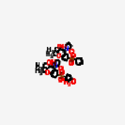 CC1(C)Oc2ccc(S(=O)(=O)c3ccccc3)cc2[C@@H](N2CCCC2=O)[C@@H]1O.CC1(C)Oc2ccc(S(=O)(=O)c3ccccc3)cc2[C@@H](N2CCCC2=O)[C@@H]1O.O